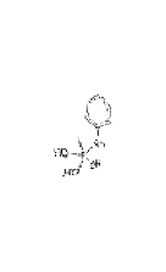 CP(O)(O)(O)Nc1ccccc1